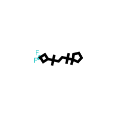 CC(C)(CCC(C)(C)C1(C)CCCC1)C1CC(F)(F)C1